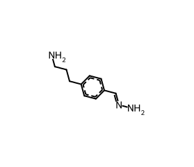 NCCCc1ccc(C=NN)cc1